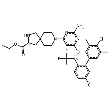 CCOC(=O)[C@@H]1CC2(CCN(c3cc(O[C@H](c4ccc(Cl)cc4-c4cc(C)c(Cl)c(C)c4)C(F)(F)F)nc(N)n3)CC2)CN1